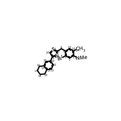 CNc1cc(Br)c(Cc2nc(-c3ccc4c(c3)CCCC4)cs2)cc1C